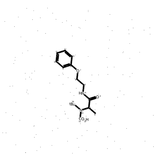 CC(C(=O)NCCOc1ccccc1)N(C(=O)O)C(C)(C)C